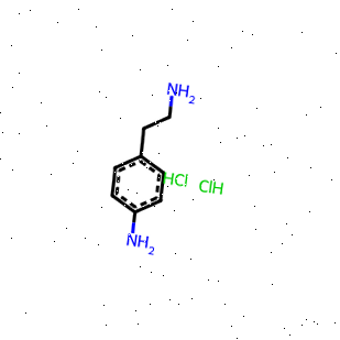 Cl.Cl.NCCc1ccc(N)cc1